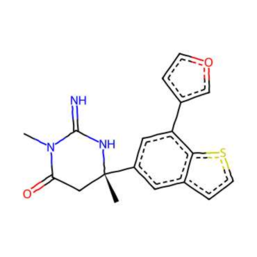 CN1C(=N)N[C@](C)(c2cc(-c3ccoc3)c3sccc3c2)CC1=O